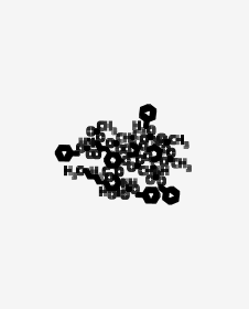 CCCCC[C@H]1O[C@H](O[C@H]2[C@H](O[C@@H]3O[C@H](CC)[C@@H](O[C@H]4O[C@@H](CNC(=O)OCc5ccccc5)[C@@H](OC(C)=O)[C@H](OC(C)=O)[C@H]4NC(=O)OCc4ccccc4)[C@H]3OC(C)=O)[C@@H](OC(C)=O)[C@H](CC(=O)[C@H](NC(=O)OCc3ccccc3)OC(C)=O)C[C@@H]2C)[C@H](NC(=O)OCc2ccccc2)[C@H]2O[C@H]21